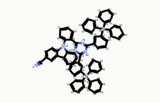 N#Cc1ccc2c(c1)c1ccccc1n2-c1ccccc1-c1nc(-c2cccc([Si](c3ccccc3)(c3ccccc3)c3ccccc3)c2)nc(-c2cccc([Si](c3ccccc3)(c3ccccc3)c3ccccc3)c2)n1